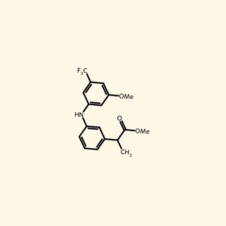 COC(=O)C(C)c1cccc(Nc2cc(OC)cc(C(F)(F)F)c2)c1